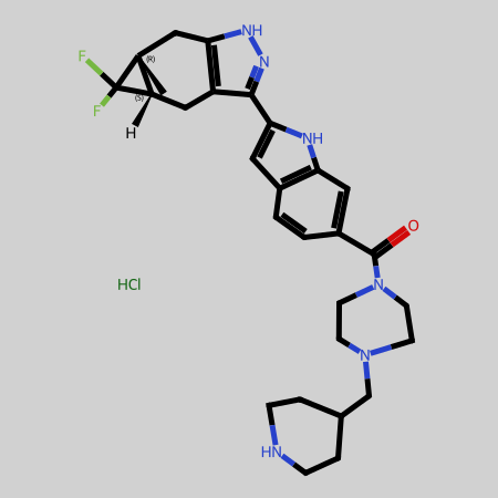 C[C@@]12Cc3[nH]nc(-c4cc5ccc(C(=O)N6CCN(CC7CCNCC7)CC6)cc5[nH]4)c3C[C@@H]1C2(F)F.Cl